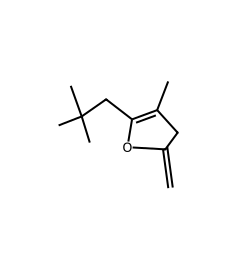 C=C1CC(C)=C(CC(C)(C)C)O1